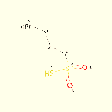 CCCCCCS(=O)(=O)S